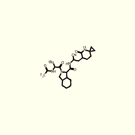 CC(C)(C)C(NC(=O)C(F)(F)F)C(=O)N1CC2CCCCC2C1C(=O)NC(C#N)CC1CCC2(CC2)NC1=O